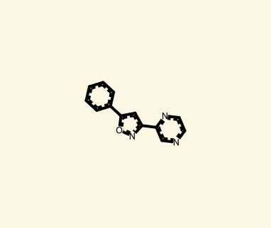 c1ccc(-c2cc(-c3cnccn3)no2)cc1